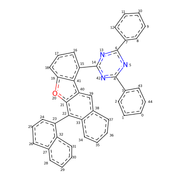 c1ccc(-c2nc(-c3ccccc3)nc(-c3cccc4oc5c(-c6cccc7ccccc67)c6ccccc6cc5c34)n2)cc1